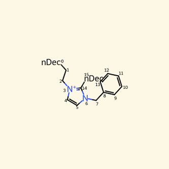 CCCCCCCCCCCC[n+]1ccn(Cc2ccccc2)c1CCCCCCCCCC